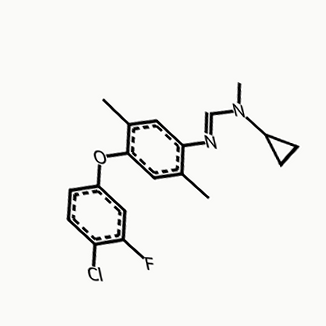 Cc1cc(Oc2ccc(Cl)c(F)c2)c(C)cc1N=CN(C)C1CC1